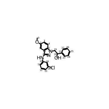 COc1ccc2c(c1)c(Nc1cccc(Cl)c1)nn2CC(O)c1ccccc1